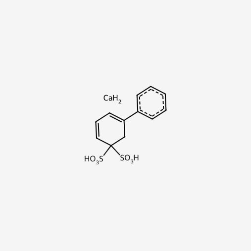 O=S(=O)(O)C1(S(=O)(=O)O)C=CC=C(c2ccccc2)C1.[CaH2]